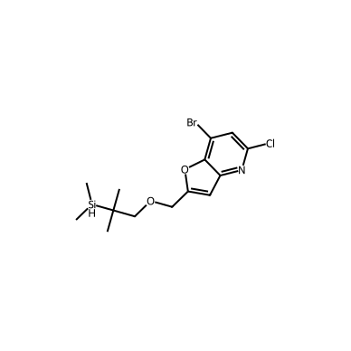 C[SiH](C)C(C)(C)COCc1cc2nc(Cl)cc(Br)c2o1